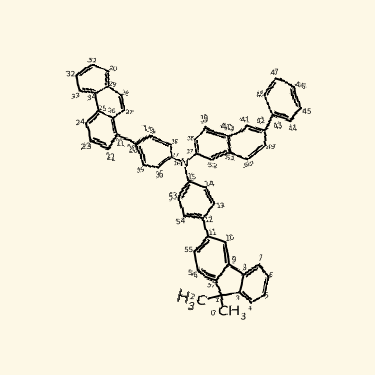 CC1(C)c2ccccc2-c2cc(-c3ccc(N(c4ccc(-c5cccc6c5ccc5ccccc56)cc4)c4ccc5cc(-c6ccccc6)ccc5c4)cc3)ccc21